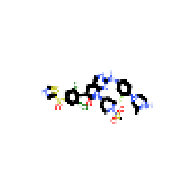 CC1CN(c2ccc(Nc3ncc4cc(-c5c(Cl)cc([S+]([O-])c6cncs6)cc5Cl)c(=O)n(C5CCN(S(C)(=O)=O)CC5)c4n3)cc2F)CCN1